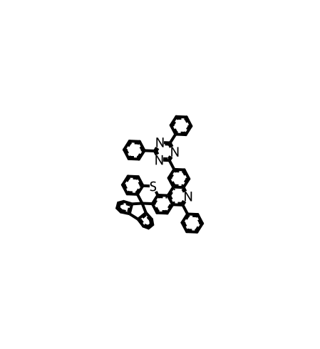 c1ccc(-c2nc(-c3ccccc3)nc(-c3ccc4nc(-c5ccccc5)c5ccc6c(c5c4c3)Sc3ccccc3C63c4ccccc4-c4ccccc43)n2)cc1